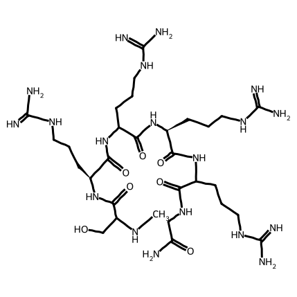 CNC(CO)C(=O)N[C@@H](CCCNC(=N)N)C(=O)NC(CCCNC(=N)N)C(=O)N[C@@H](CCCNC(=N)N)C(=O)NC(CCCNC(=N)N)C(=O)NCC(N)=O